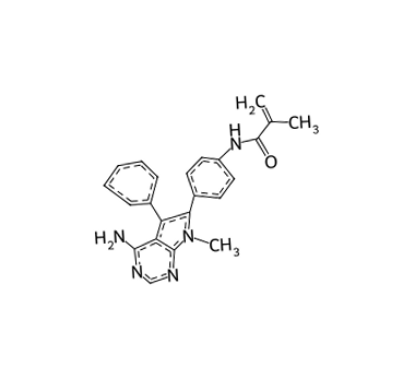 C=C(C)C(=O)Nc1ccc(-c2c(-c3ccccc3)c3c(N)ncnc3n2C)cc1